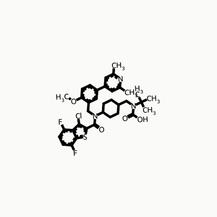 COc1ccc(-c2cc(C)nc(C)c2)cc1CN(C(=O)c1sc2c(F)ccc(F)c2c1Cl)C1CCC(CN(C(=O)O)C(C)(C)C)CC1